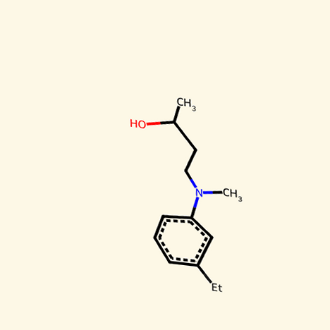 CCc1cccc(N(C)CCC(C)O)c1